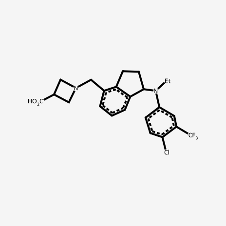 CCN(c1ccc(Cl)c(C(F)(F)F)c1)C1CCc2c(CN3CC(C(=O)O)C3)cccc21